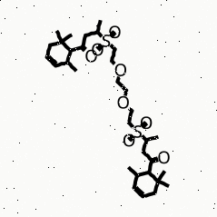 CC1C=CCC(C)(C)C1C(=O)CC(C)S(=O)(=O)CCOCCOCCS(=O)(=O)C(C)CC(=O)C1C(C)C=CCC1(C)C